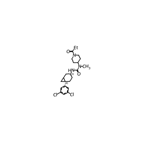 CCC(=O)N1CCC(N(C)C(=O)N[C@H]2CC[C@@]3(c4cc(Cl)cc(Cl)c4)CC3C2)CC1